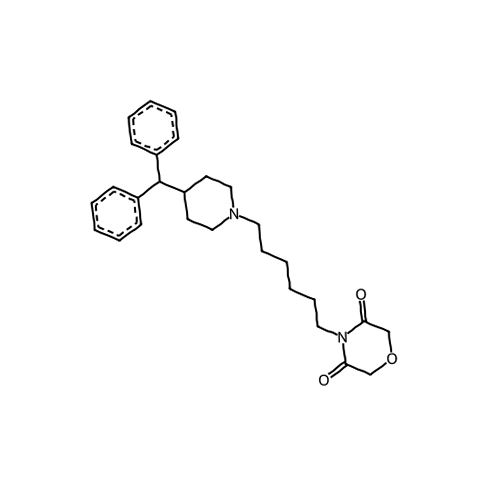 O=C1COCC(=O)N1CCCCCCN1CCC(C(c2ccccc2)c2ccccc2)CC1